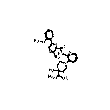 COC(C)C1(N)CCN(c2cccnc2NC(=O)c2nc(-c3ncccc3OC(F)(F)F)cnc2N)CC1